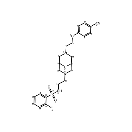 N#Cc1ccc(OCCN2CC3CN(CCNS(=O)(=O)c4ccccc4F)CC(C2)O3)cc1